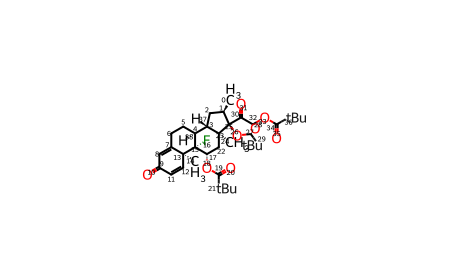 C[C@@H]1C[C@H]2[C@@H]3CCC4=CC(=O)C=C[C@]4(C)[C@]3(F)[C@@H](OC(=O)C(C)(C)C)C[C@]2(C)[C@@]1(OC(=O)C(C)(C)C)C(=O)COC(=O)C(C)(C)C